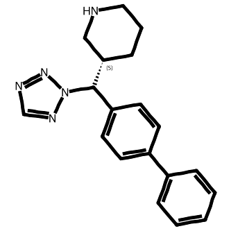 c1ccc(-c2ccc(C([C@H]3CCCNC3)n3ncnn3)cc2)cc1